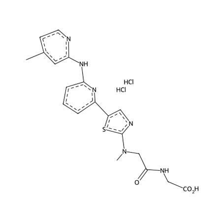 Cc1ccnc(Nc2cccc(-c3cnc(N(C)CC(=O)NCC(=O)O)s3)n2)c1.Cl.Cl